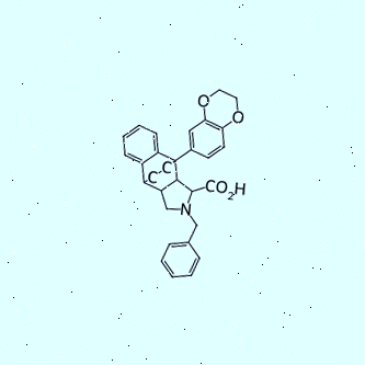 O=C(O)C1C2C(CN1Cc1ccccc1)C1CCC2(c2ccc3c(c2)OCCO3)c2ccccc21